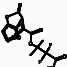 CC(C)(OC(=O)c1c2c3oc1cc3OC2=O)C(F)(F)C(=O)O